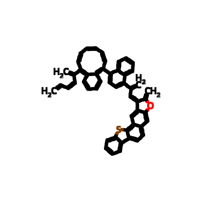 C=C/C=C\C(=C)c1ccccccc(-c2ccc(C(=C)/C=c3\c(=C)oc4cc5ccc6c7ccccc7sc6c5cc34)c3ccccc23)c2ccccc12